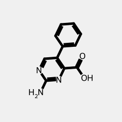 Nc1ncc(-c2ccccc2)c(C(=O)O)n1